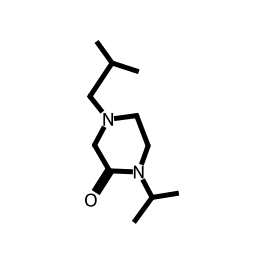 CC(C)CN1CCN(C(C)C)C(=O)C1